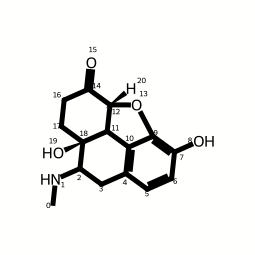 CNC1Cc2ccc(O)c3c2C2[C@@H](O3)C(=O)CC[C@@]12O